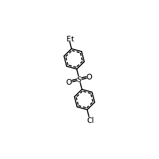 CCc1ccc(S(=O)(=O)c2ccc(Cl)cc2)cc1